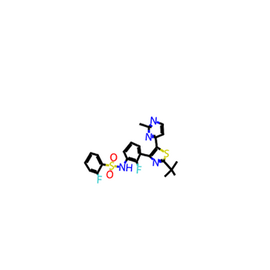 Cc1nccc(-c2sc(C(C)(C)C)nc2-c2cccc(NS(=O)(=O)c3ccccc3F)c2F)n1